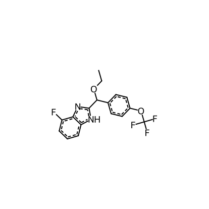 CCOC(c1ccc(OC(F)(F)F)cc1)c1nc2c(F)cccc2[nH]1